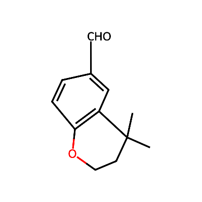 CC1(C)CCOc2ccc(C=O)cc21